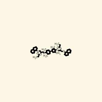 C=CC(=O)OC(COc1c(C)cc(-c2cc(C)c(OCC(COc3cccc4ccccc34)OC(=O)C=C)c(C)c2)cc1C)COc1cccc2ccccc12